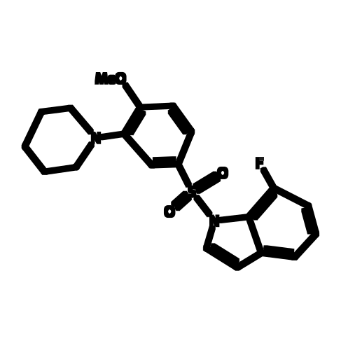 COc1ccc(S(=O)(=O)n2ccc3cccc(F)c32)cc1N1CCCCC1